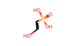 O=P(O)(O)C=CO